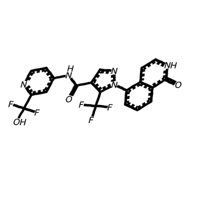 O=C(Nc1ccnc(C(O)(F)F)c1)c1cnn(-c2cccc3c(=O)[nH]ccc23)c1C(F)(F)F